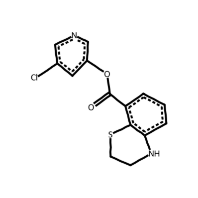 O=C(Oc1cncc(Cl)c1)c1cccc2c1SCCN2